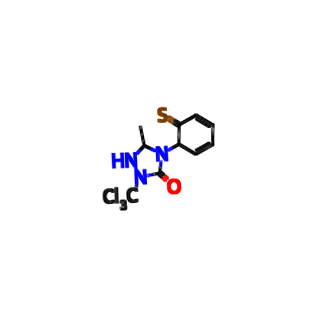 CC1NN(C(Cl)(Cl)Cl)C(=O)N1C1C=CC=CC1=S